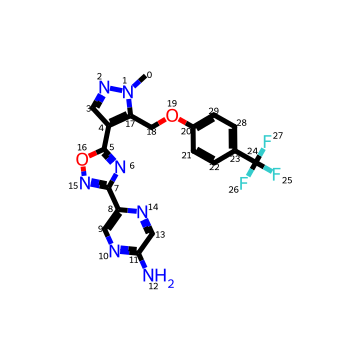 Cn1ncc(-c2nc(-c3cnc(N)cn3)no2)c1COc1ccc(C(F)(F)F)cc1